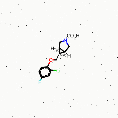 O=C(O)N1C[C@@H]2[C@H](COc3ccc(F)cc3Cl)[C@@H]2C1